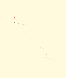 COC(=O)CCOCCC(=O)O